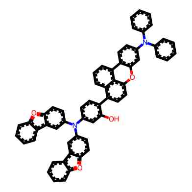 Oc1cc(N(c2ccc3oc4ccccc4c3c2)c2ccc3oc4ccccc4c3c2)ccc1-c1ccc2c3c(cccc13)-c1ccc(N(c3ccccc3)c3ccccc3)cc1O2